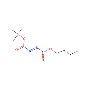 CCCCOC(=O)N=NC(=O)O[Si](C)(C)C